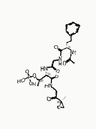 CC(=O)N[C@@H](CCc1ccccc1)C(=O)NCC(=O)N[C@H](C(=O)NCC(=O)[C@@]1(C)CO1)[C@@H](C)OP(=O)(O)O